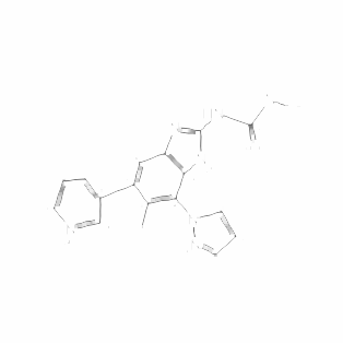 CCNC(=O)Nc1nc2cc(-c3cccnc3)c(F)c(-n3cccn3)c2[nH]1